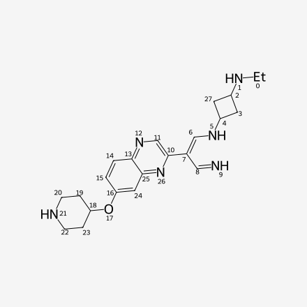 CCNC1CC(N/C=C(\C=N)c2cnc3ccc(OC4CCNCC4)cc3n2)C1